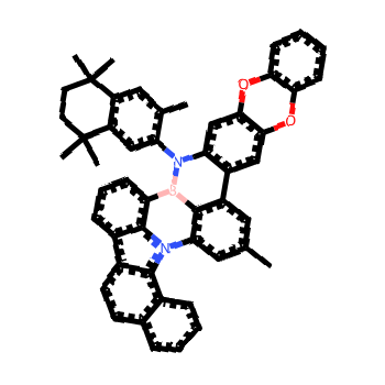 Cc1cc2c3c(c1)-n1c4c(cccc4c4ccc5ccccc5c41)B3N(c1cc3c(cc1C)C(C)(C)CCC3(C)C)c1cc3c(cc1-2)Oc1ccccc1O3